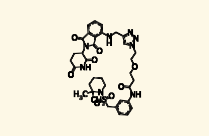 CC1(C)CCCCN1S(=O)(=O)Cc1cccc(NC(=O)CCOCCn2cc(CNc3cccc4c3C(=O)N(C3CCC(=O)NC3=O)C4=O)nn2)c1